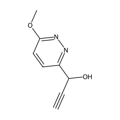 C#CC(O)c1ccc(OC)nn1